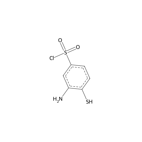 Nc1cc(S(=O)(=O)Cl)ccc1S